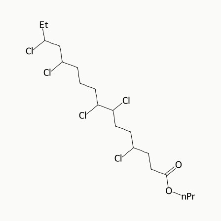 CCCOC(=O)CCC(Cl)CCC(Cl)C(Cl)CCCC(Cl)CC(Cl)CC